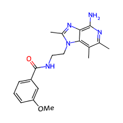 COc1cccc(C(=O)NCCn2c(C)nc3c(N)nc(C)c(C)c32)c1